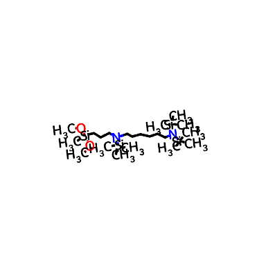 CO[Si](C)(CCCN(CCCCCCN([Si](C)(C)C)[Si](C)(C)C)[Si](C)(C)C)OC